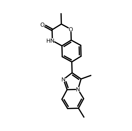 Cc1ccc2nc(-c3ccc4c(c3)NC(=O)C(C)O4)c(C)n2c1